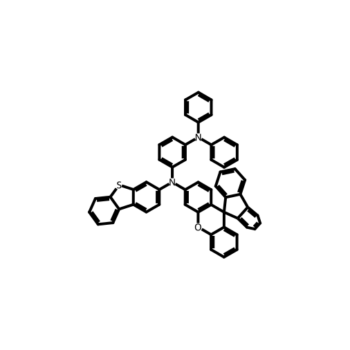 c1ccc(N(c2ccccc2)c2cccc(N(c3ccc4c(c3)Oc3ccccc3C43c4ccccc4-c4ccccc43)c3ccc4c(c3)sc3ccccc34)c2)cc1